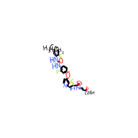 C=C(C)/C=C(NC(=O)Nc1ccc(Oc2ccnc3cc(C(=O)NCCC(=O)OC)sc23)cc1F)\C(F)=C/C